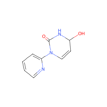 O=C1NC(O)C=CN1c1ccccn1